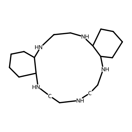 C1CCC2NCCNC3CCCCC3NCCNCCNC2C1